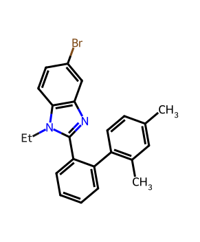 CCn1c(-c2ccccc2-c2ccc(C)cc2C)nc2cc(Br)ccc21